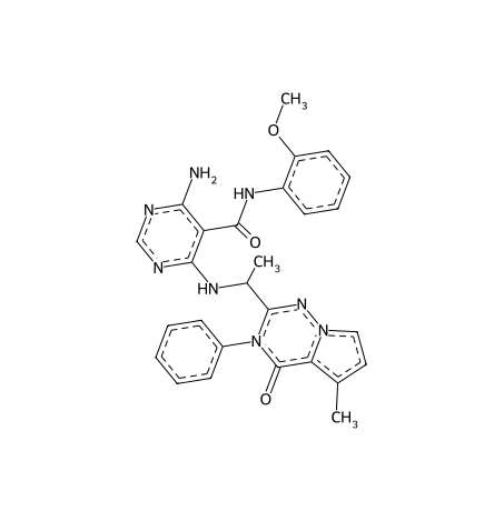 COc1ccccc1NC(=O)c1c(N)ncnc1NC(C)c1nn2ccc(C)c2c(=O)n1-c1ccccc1